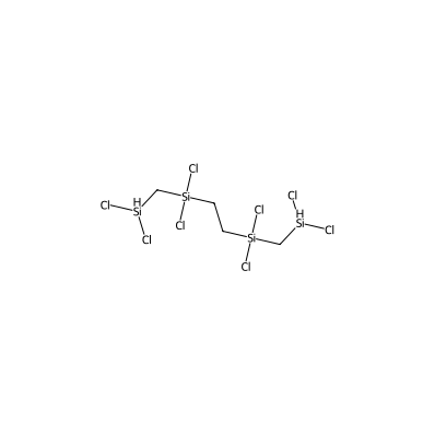 Cl[SiH](Cl)C[Si](Cl)(Cl)CC[Si](Cl)(Cl)C[SiH](Cl)Cl